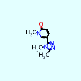 Cc1nnc(-c2ccc(=O)n(C)c2)n1C